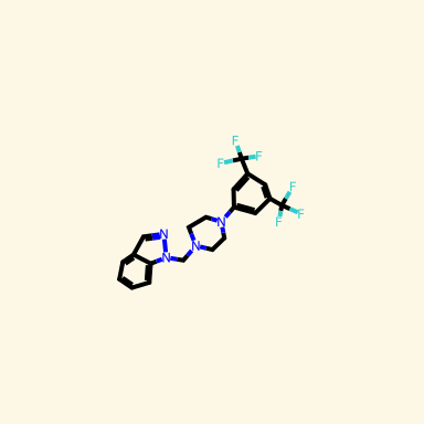 FC(F)(F)c1cc(N2CCN(Cn3ncc4ccccc43)CC2)cc(C(F)(F)F)c1